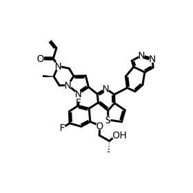 C=CC(=O)N1Cc2cc(-c3nc(-c4ccc5cnncc5c4)c4ccsc4c3-c3c(F)cc(F)cc3OC[C@@H](C)O)nn2C[C@H]1C